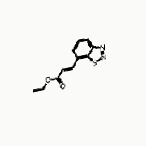 CCOC(=O)C=Cc1cccc2nnsc12